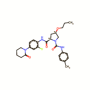 CCCO[C@@H]1C[C@H](C(=O)Nc2ccc(N3CCCCC3=O)cc2F)N(C(=O)Nc2ccc(C)cc2)C1